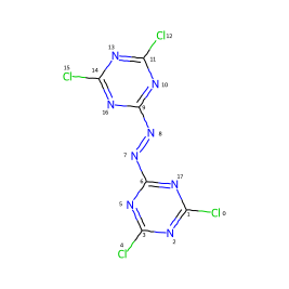 Clc1nc(Cl)nc(N=Nc2nc(Cl)nc(Cl)n2)n1